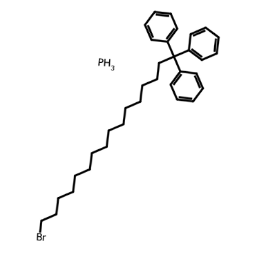 BrCCCCCCCCCCCCCCCC(c1ccccc1)(c1ccccc1)c1ccccc1.P